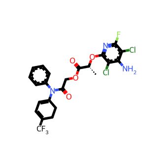 C[C@@H](Oc1nc(F)c(Cl)c(N)c1Cl)C(=O)OCC(=O)N(C1=CC=C(C(F)(F)F)CC1)c1ccccc1